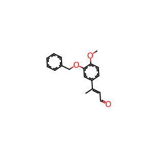 COc1ccc(C(C)=CC=O)cc1OCc1ccccc1